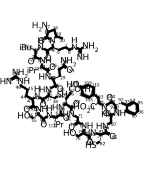 CC[C@H](C)[C@H](NC(=O)[C@H](CCCNC(=N)N)N1C(=O)[C@@H](N)CC1C)C(=O)N[C@H](C(=O)N[C@@H](CCC(N)=O)C(=O)N[C@@H](CS)C(=O)NC(CCCNC(=N)N)C(=O)N[C@@H](CO)C(=O)N[C@H](C(=O)N[C@@H](CCC(=O)O)C(=O)NCC(=O)NC(CO)C(=O)N[C@@H](CS)C(=O)NCC(=O)N[C@@H](Cc1ccccc1)C(=O)N[C@@H](Cc1ccc(O)cc1)C(=O)O)C(C)C)C(C)C